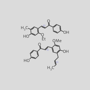 C/C=C/Cc1cc(/C=C/C(=O)c2ccc(O)cc2)c(OC)cc1O.CCOc1cc(O)c(C)cc1/C=C/C(=O)c1ccc(O)cc1